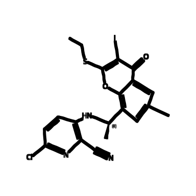 CCSc1oc2c([C@@H](C)Nc3ccc(Cl)nc3C#N)cc(C)cc2c(=O)c1I